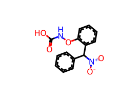 O=C(O)NOc1ccccc1C(c1ccccc1)[N+](=O)[O-]